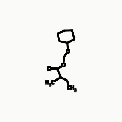 CCC(C)C(=O)OCOC1CCCCC1